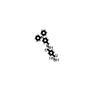 O=C(NO)c1ccc(C(=O)N/N=C/c2ccc(N(c3ccccc3)c3ccccc3)cc2)cc1